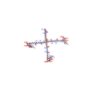 CC(=O)NC1C(O)[C@@H](O)C(CO)O[C@H]1OCCCCC(=O)NCCCNC(=O)CCOCC(COCCC(=O)NCCCNC(=O)CCCCO[C@@H]1OC(CO)[C@H](O)C(O)C1NC(C)=O)(COCCC(=O)NCCCNC(=O)CCCCO[C@@H]1OC(CO)[C@H](O)C(O)C1NC(C)=O)NC(=O)COCCCCNC(=O)CON